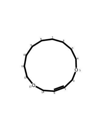 C1=CCOCCCCCCCCCOC1